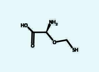 N[C@@H](OCS)C(=O)O